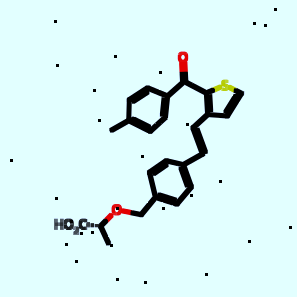 Cc1ccc(C(=O)c2sccc2/C=C/c2ccc(CO[C@H](C)C(=O)O)cc2)cc1